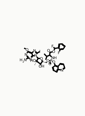 COc1nc(N)nc2c1nc(I)n2C1O[C@H](COP(=O)(NC(C(=O)OC(F)c2ccccc2F)C(C)C)Oc2cccc3ncccc23)[C@@H](O)[C@@]1(C)O